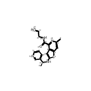 Cc1cc2sc(N[C@@H](C)c3cccnc3)cc2c(C(=O)NCCO)n1